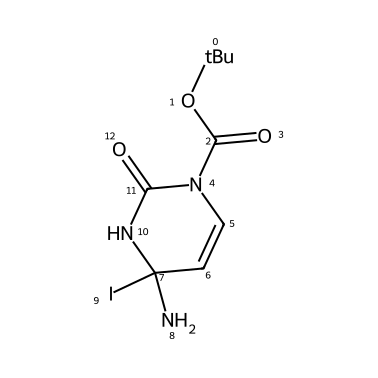 CC(C)(C)OC(=O)N1C=CC(N)(I)NC1=O